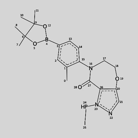 Cc1cc(B2OC(C)(C)C(C)(C)O2)ccc1N1CCOc2cnn(PI)c2C1=O